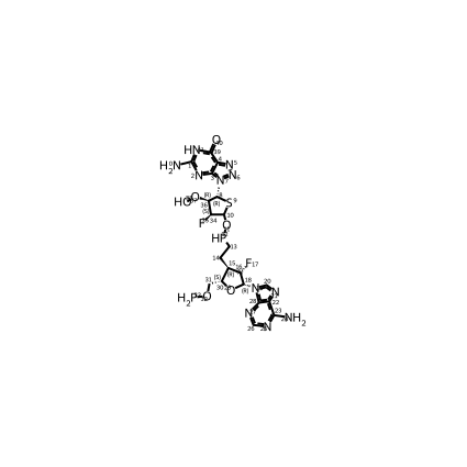 Nc1nc2c(nnn2[C@@H]2SC(OPCC[C@H]3[C@H](F)[C@H](n4cnc5c(N)ncnc54)O[C@@H]3COP)[C@@H](F)[C@H]2OO)c(=O)[nH]1